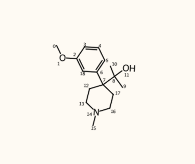 COc1cccc(C2(C(C)(C)O)CCN(C)CC2)c1